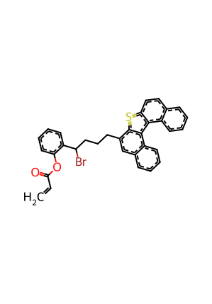 C=CC(=O)Oc1ccccc1C(Br)CCCc1cc2ccccc2c2c1sc1ccc3ccccc3c12